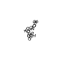 COc1c(-c2nc3ccc([N+](=O)OC)cc3o2)cc(N2CCC(=O)NC2=O)cc1C(C)(C)C